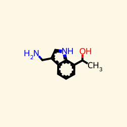 CC(O)c1cccc2c(CN)c[nH]c12